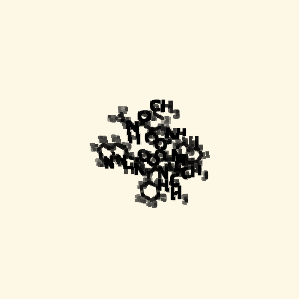 CCC[C@H](NC(=O)[C@@H]1C[C@@H]2CCCC[C@@H]2N1C(=O)[C@@H](NC(=O)[C@@H](NC(=O)c1ccc2cccnc2n1)C1CCCCC1)C(C)(C)C)C(=O)C(=O)NC1CC1